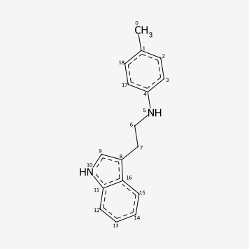 Cc1ccc(NCCc2c[nH]c3ccccc23)cc1